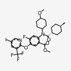 COC(=O)c1cc(Oc2ncc(I)cc2C(F)(F)F)c(F)cc1N(C(=O)[C@H]1CC[C@H](C)CC1)C1CCC(OC)CC1